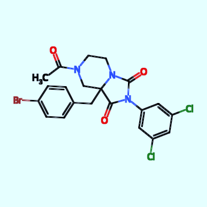 CC(=O)N1CCN2C(=O)N(c3cc(Cl)cc(Cl)c3)C(=O)C2(Cc2ccc(Br)cc2)C1